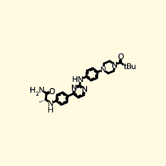 C[C@@H](Nc1ccc(-c2ccnc(Nc3ccc(N4CCN(C(=O)C(C)(C)C)CC4)cc3)n2)cc1)C(N)=O